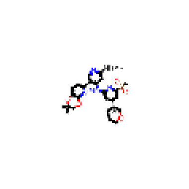 CC(=O)Nc1cc(Nc2cc([C@H]3CCCOC3)cc(S(C)(=O)=O)n2)c(-c2ccc3c(n2)OCC(C)(C)O3)cn1